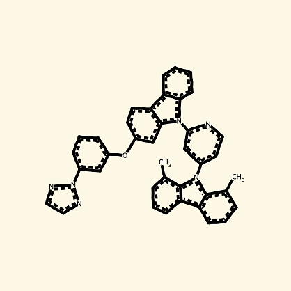 Cc1cccc2c3cccc(C)c3n(-c3ccnc(-n4c5ccccc5c5ccc(Oc6cccc(-n7nccn7)c6)cc54)c3)c12